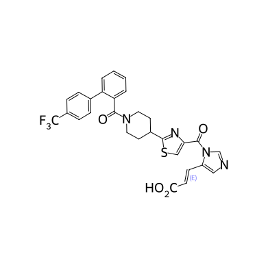 O=C(O)/C=C/c1cncn1C(=O)c1csc(C2CCN(C(=O)c3ccccc3-c3ccc(C(F)(F)F)cc3)CC2)n1